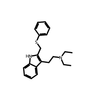 CCN(CC)CCc1c(CSc2ccccc2)[nH]c2ccccc12